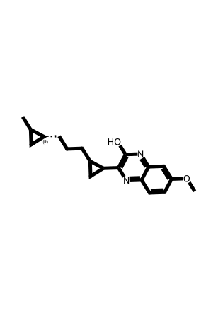 COc1ccc2nc(C3CC3CCC[C@@H]3CC3C)c(O)nc2c1